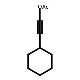 CC(=O)OC#CC1CCCCC1